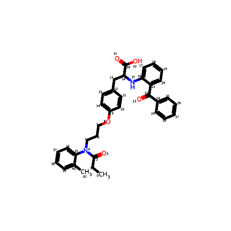 CCC(=O)N(CCCOc1ccc(CC(Nc2ccccc2C(=O)c2ccccc2)C(=O)O)cc1)c1ccccc1C